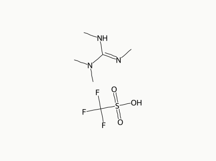 C/N=C(\NC)N(C)C.O=S(=O)(O)C(F)(F)F